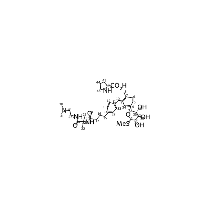 CS[C@H]1O[C@@H](c2ccc(C)c(Cc3ccc(CCCC(=O)NC(C)(C)C(=O)NCCN(C)C)cc3)c2)[C@H](O)[C@@H](O)[C@@H]1O.O=C(O)[C@@H]1CCCN1